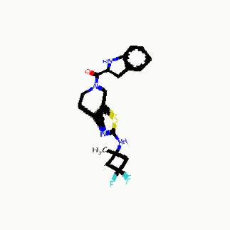 CC1(Nc2nc3c(s2)CN(C(=O)C2Cc4ccccc4N2)CC3)CC(F)(F)C1